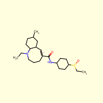 CCN1CCC/C(C(=O)NC2CCC([S+]([O-])CC)CC2)=C\C2CC(C)CCC21